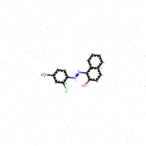 Cc1ccc(/N=N/c2c(O)ccc3ccccc23)c(Cl)c1